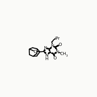 CC(C)Cn1c(=O)n(C)c(=O)c2[nH]c(C34CC5CC(CC3C5)C4)nc21